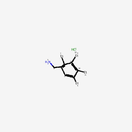 CCc1cc(CN)c(CC)c(CC)c1CC.Cl